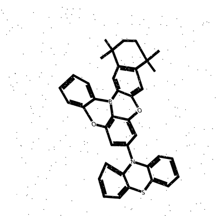 CC1(C)CCC(C)(C)c2cc3c(cc21)Oc1cc(N2c4ccccc4Sc4ccccc42)cc2c1B3c1ccccc1O2